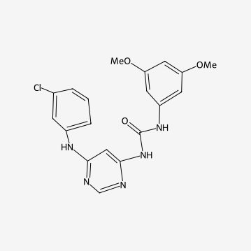 COc1cc(NC(=O)Nc2cc(Nc3cccc(Cl)c3)ncn2)cc(OC)c1